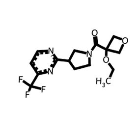 CCOC1(C(=O)N2CCC(c3nccc(C(F)(F)F)n3)C2)COC1